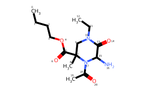 CCCCOC(=O)C1(C)CN(CC)C(=O)C(N)N1C(C)=O